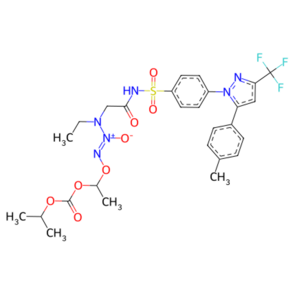 CCN(CC(=O)NS(=O)(=O)c1ccc(-n2nc(C(F)(F)F)cc2-c2ccc(C)cc2)cc1)[N+]([O-])=NOC(C)OC(=O)OC(C)C